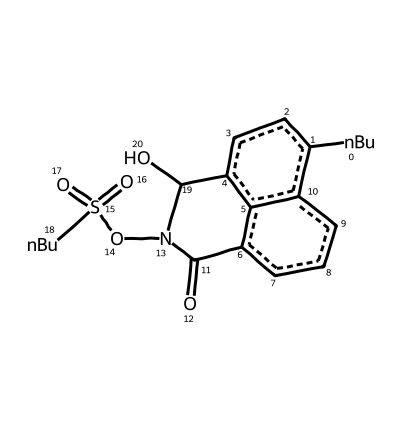 CCCCc1ccc2c3c(cccc13)C(=O)N(OS(=O)(=O)CCCC)C2O